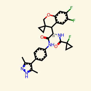 Cc1n[nH]c(C)c1-c1ccc(NC(=O)[C@@H](NC(=O)C2(F)CC2)C2c3cc(F)c(F)cc3OCC23CC3)cc1